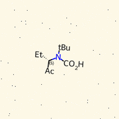 CC[C@@H](C(C)=O)N(C(=O)O)C(C)(C)C